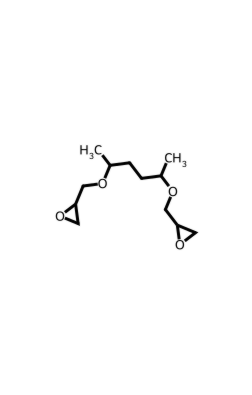 CC(CCC(C)OCC1CO1)OCC1CO1